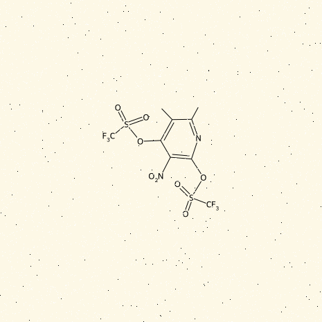 Cc1nc(OS(=O)(=O)C(F)(F)F)c([N+](=O)[O-])c(OS(=O)(=O)C(F)(F)F)c1C